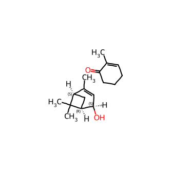 CC1=CCCCC1=O.CC1=C[C@@H](O)[C@@H]2C[C@H]1C2(C)C